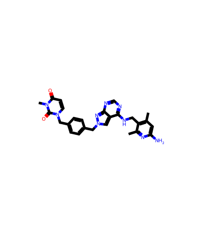 Cc1cc(N)nc(C)c1CNc1ncnc2nn(Cc3ccc(Cn4ccc(=O)n(C)c4=O)cc3)cc12